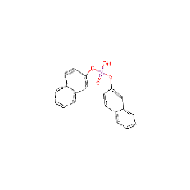 O=P(O)(Oc1ccc2ccccc2c1)Oc1ccc2ccccc2c1